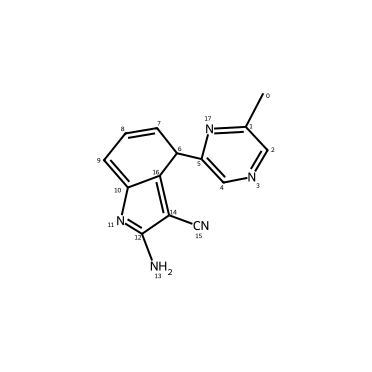 Cc1cncc(C2C=CC=C3N=C(N)C(C#N)=C32)n1